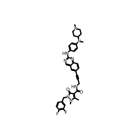 Cc1c(C(=O)NCC#Cc2ccc3nc(Nc4ccc(N(C)C5CCN(C)CC5)cc4)ncc3c2)c(=O)n(Cc2ccc(F)c(F)c2)n1C